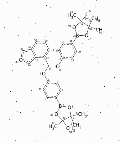 CC1(C)OB(c2ccc(OC(Oc3ccc(B4OC(C)(C)C(C)(C)O4)cc3)c3cccc4cocc34)cc2)OC1(C)C